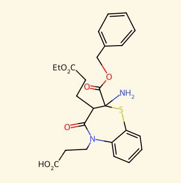 CCOC(=O)CCC1C(=O)N(CCC(=O)O)c2ccccc2SC1(N)C(=O)OCc1ccccc1